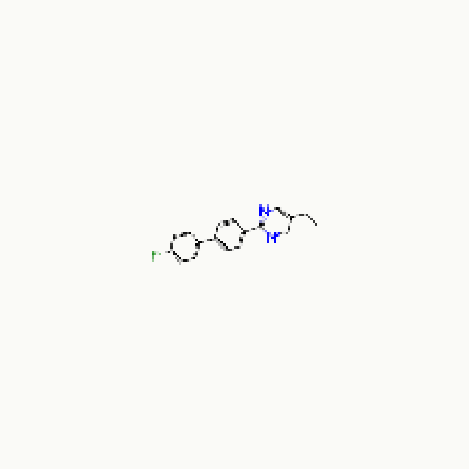 CCc1cnc(-c2ccc(-c3ccc(F)cc3)cc2)nc1